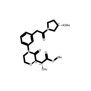 CO[C@H]1CCN(C(=O)Cc2cccc(N3CCO[C@H]([C@@H](OC(C)=O)C(=O)OC(C)(C)C)C3=O)c2)C1